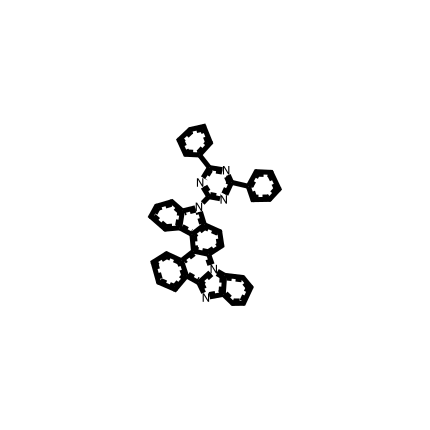 c1ccc(-c2nc(-c3ccccc3)nc(-n3c4ccccc4c4c5c6ccccc6c6nc7ccccc7n6c5ccc43)n2)cc1